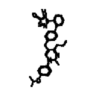 CCCC1=NC(C)N(c2ccc(OC(C)C)cc2)C=C1Cc1ccc(-c2ccccc2-c2nsc(=O)[nH]2)cc1